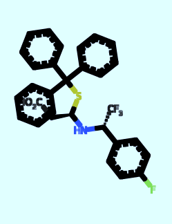 O=C(O)C[C@H](N[C@@H](c1ccc(F)cc1)C(F)(F)F)SC(c1ccccc1)(c1ccccc1)c1ccccc1